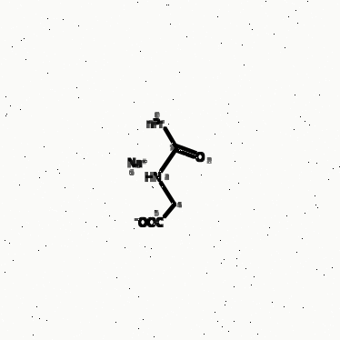 CCCC(=O)NCC(=O)[O-].[Na+]